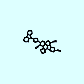 N#Cc1ccc2c(c1)c1c(C#N)cccc1n2-c1ccccc1-c1cccc(-c2ccc(-n3c4ccccc4c4ccccc43)cc2)c1C#N